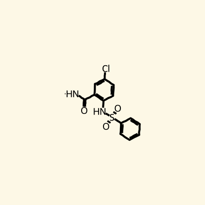 [NH]C(=O)c1cc(Cl)ccc1NS(=O)(=O)c1ccccc1